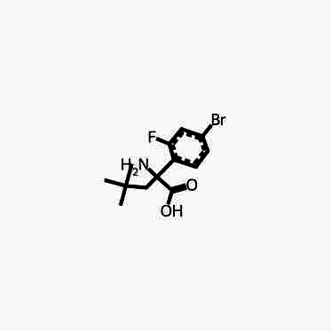 CC(C)(C)CC(N)(C(=O)O)c1ccc(Br)cc1F